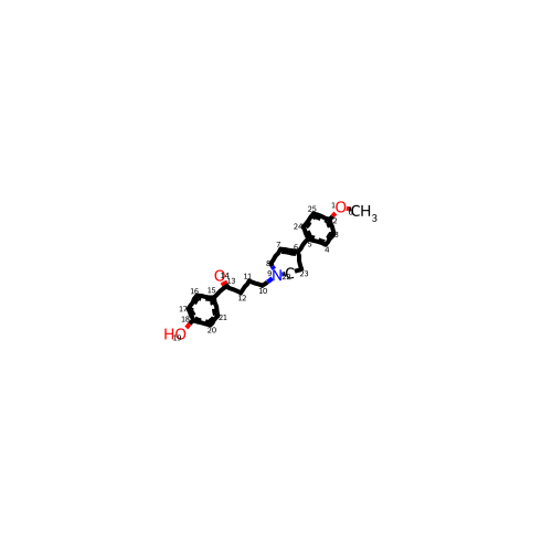 COc1ccc(C2=CCN(CCCC(=O)c3ccc(O)cc3)CC2)cc1